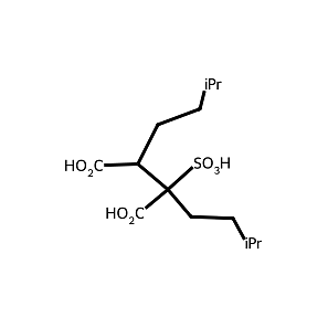 CC(C)CCC(C(=O)O)C(CCC(C)C)(C(=O)O)S(=O)(=O)O